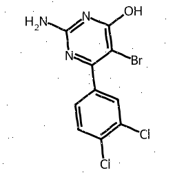 Nc1nc(O)c(Br)c(-c2ccc(Cl)c(Cl)c2)n1